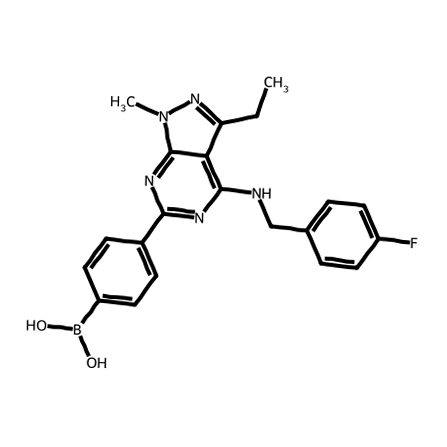 CCc1nn(C)c2nc(-c3ccc(B(O)O)cc3)nc(NCc3ccc(F)cc3)c12